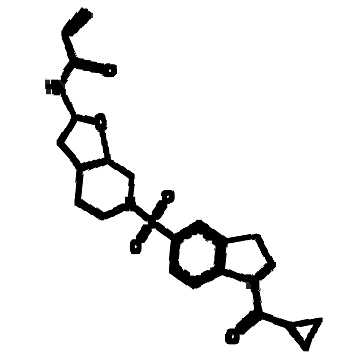 C=CC(=O)NC1CC2CCN(S(=O)(=O)c3ccc4c(c3)CCN4C(=O)C3CC3)CC2O1